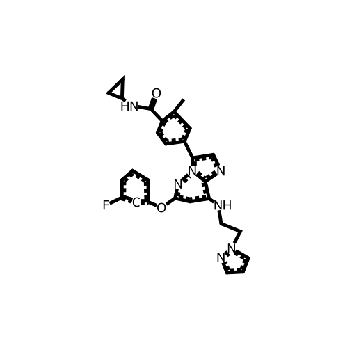 Cc1cc(-c2cnc3c(NCCn4cccn4)cc(Oc4cccc(F)c4)nn23)ccc1C(=O)NC1CC1